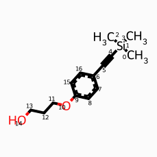 C[Si](C)(C)C#Cc1ccc(OCCCO)cc1